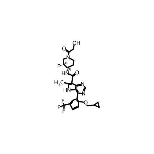 Cc1[nH]c2c(-c3cc(C(F)(F)F)ccc3OCC3CC3)ncnc2c1C(=O)N[C@@H]1CCN(C(=O)CO)C[C@H]1F